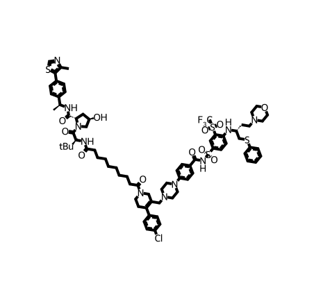 Cc1ncsc1-c1ccc([C@H](C)NC(=O)[C@@H]2C[C@@H](O)CN2C(=O)[C@@H](NC(=O)CCCCCCCCC(=O)N2CCC(c3ccc(Cl)cc3)=C(CN3CCN(c4ccc(C(=O)NS(=O)(=O)c5ccc(N[C@H](CCN6CCOCC6)CSc6ccccc6)c(S(=O)(=O)C(F)(F)F)c5)cc4)CC3)C2)C(C)(C)C)cc1